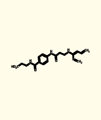 C=C/C=C(\N=C)NCCC(=O)Nc1ccc(C(=O)NCCC(=O)O)cc1